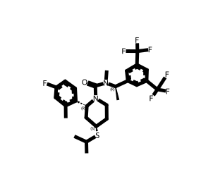 Cc1cc(F)ccc1[C@H]1C[C@@H](SC(C)C)CCN1C(=O)N(C)[C@H](C)c1cc(C(F)(F)F)cc(C(F)(F)F)c1